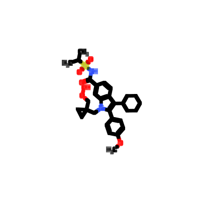 COc1ccc(-c2c(C3CCCCC3)c3ccc(C(=O)NS(=O)(=O)C(C)C)cc3n2CC2(COO)CC2)cc1